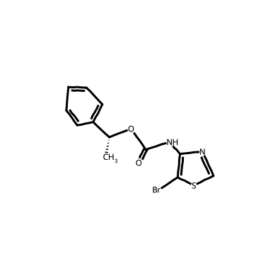 C[C@@H](OC(=O)Nc1ncsc1Br)c1ccccc1